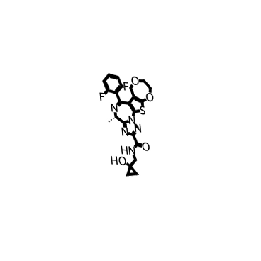 C[C@@H]1N=C(c2c(F)cccc2F)c2c(sc3c2COCCO3)-n2nc(C(=O)NCC3(O)CC3)nc21